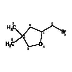 CC1(C)COC(CBr)C1